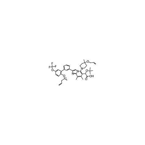 C=CCOC1(C)CCN(c2c(C(OC(C)(C)C)C(=O)O)c(C)c(C)c3nc(-c4cccc(-c5cc(OC(F)(F)F)ccc5O[C@@H](C)CC=C)c4)cn23)CC1